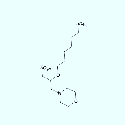 CCCCCCCCCCCCCCCCOC(CN1CCOCC1)CS(=O)(=O)O